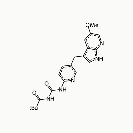 COc1cnc2[nH]cc(Cc3ccc(NC(=O)NC(=O)C(C)(C)C)nc3)c2c1